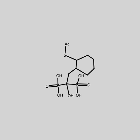 CC(=O)SC1CCCCC1CC(O)(P(=O)(O)O)P(=O)(O)O